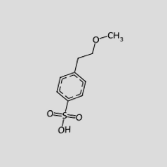 COCCc1ccc(S(=O)(=O)O)cc1